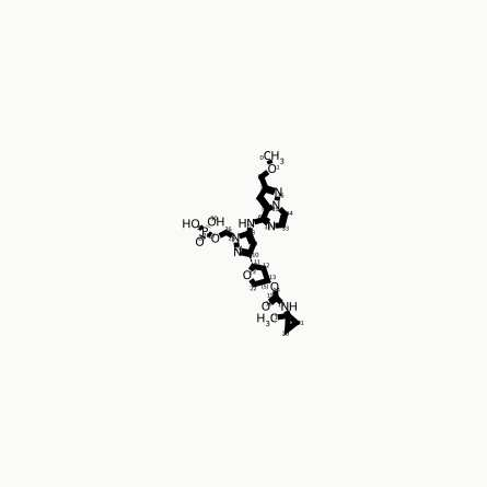 COCc1cc2c(Nc3cc([C@@H]4C[C@H](OC(=O)NC5(C)CC5)CO4)nn3COP(=O)(O)O)nccn2n1